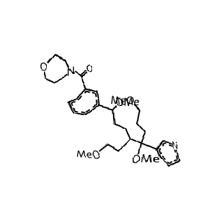 COCCCC(OC)(c1cccnc1)C(CCOC)CCC(OC)c1cccc(C(=O)N2CCOCC2)c1